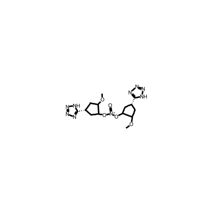 COC1C[C@@H](c2nnn[nH]2)CC1O[N+](=O)OC1C[C@H](c2nnn[nH]2)CC1OC